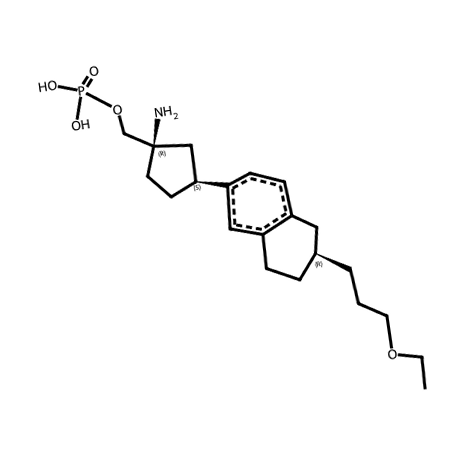 CCOCCC[C@H]1CCc2cc([C@H]3CC[C@](N)(COP(=O)(O)O)C3)ccc2C1